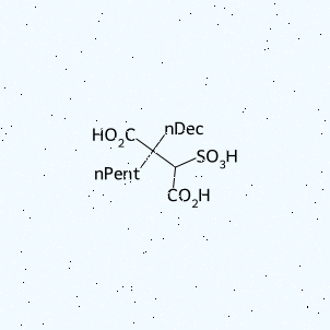 CCCCCCCCCCC(CCCCC)(C(=O)O)C(C(=O)O)S(=O)(=O)O